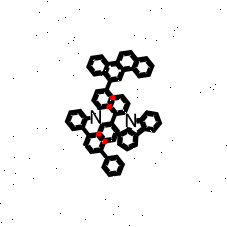 c1ccc(-c2ccc(-c3ccccc3N(c3ccc(-c4cc5c6ccccc6ccc5c5ccccc45)cc3)c3ccccc3-c3ccccc3-n3c4ccccc4c4ccccc43)cc2)cc1